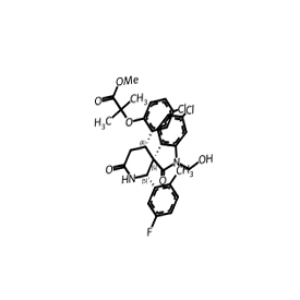 COC(=O)C(C)(C)Oc1ccc(Cl)cc1[C@H]1CC(=O)N[C@@H](c2cc(F)ccc2C)[C@]12C(=O)N(CO)c1cc(Cl)ccc12